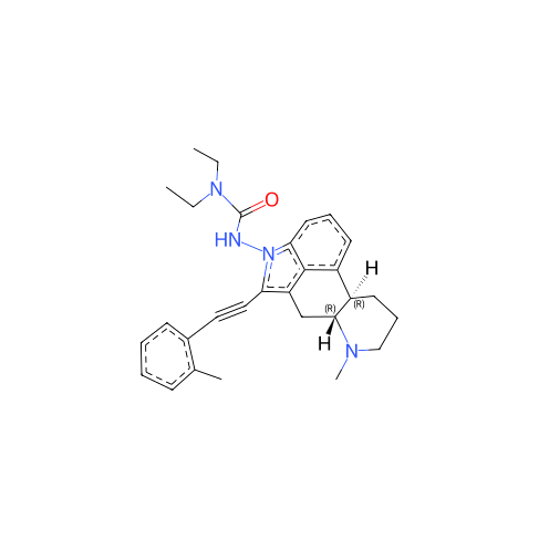 CCN(CC)C(=O)Nn1c(C#Cc2ccccc2C)c2c3c(cccc31)[C@H]1CCCN(C)[C@@H]1C2